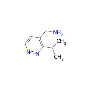 CC(C)c1nnccc1CN